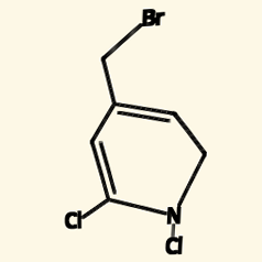 ClC1=CC(CBr)=CCN1Cl